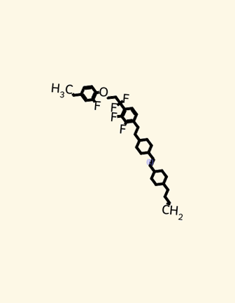 C=CCCC1CCC(/C=C/C2CCC(CCc3ccc(C(F)(F)CCOc4ccc(CC)cc4F)c(F)c3F)CC2)CC1